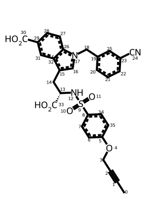 CC#CCOc1ccc(S(=O)(=O)N[C@@H](Cc2cn(Cc3cccc(C#N)c3)c3ccc(C(=O)O)cc23)C(=O)O)cc1